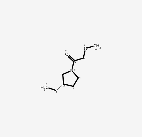 CC[C@H]1CCN(C(=O)COC)C1